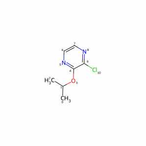 CC(C)Oc1nccnc1Cl